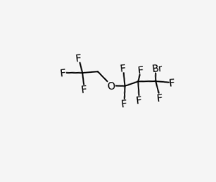 FC(F)(F)COC(F)(F)C(F)(F)C(F)(F)Br